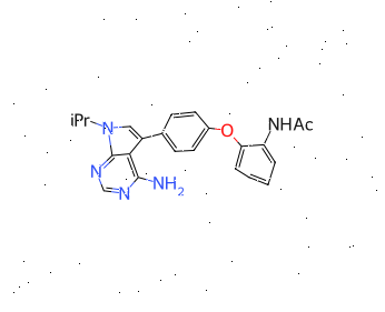 CC(=O)Nc1ccccc1Oc1ccc(-c2cn(C(C)C)c3ncnc(N)c23)cc1